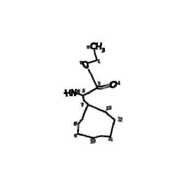 CCOC(=O)C([NH])C1CCCCCC1